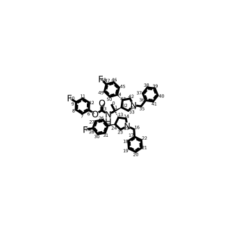 CC(NC(=O)Oc1ccc(F)cc1)([C@@H]1CN(Cc2ccccc2)C[C@H]1c1ccc(F)cc1)[C@@H]1CN(Cc2ccccc2)C[C@H]1c1ccc(F)cc1